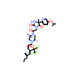 C=C(/C=C(\C=C/CN1C[C@@H](C)N(C(=O)CN2C(=O)NC(C)(c3ccc(OC(C)C)cn3)C2=O)C[C@@H]1C)C(O)(C(F)(F)F)C(F)(F)F)CCC